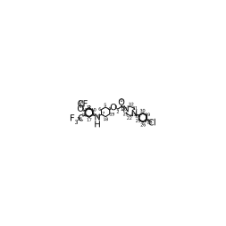 O=C(COC1CCC(Nc2ccc(OC(F)(F)F)c(C(F)(F)F)c2)CC1)N1CCN(c2ccc(Cl)cc2)CC1